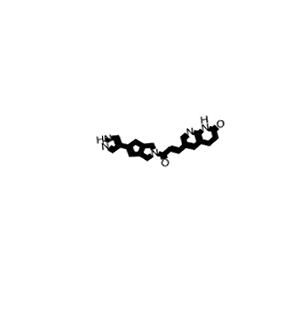 O=C1CCc2cc(/C=C/C(=O)N3CC4C=C(c5cn[nH]c5)CC4C3)cnc2N1